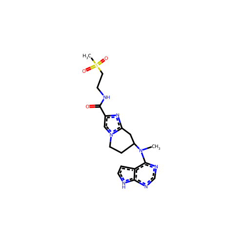 CN(c1ncnc2[nH]ccc12)C1CCn2cc(C(=O)NCCS(C)(=O)=O)nc2C1